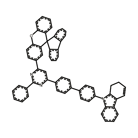 C1=Cc2c(n(-c3ccc(-c4ccc(-c5cc(-c6ccc7c(c6)C6(c8ccccc8O7)c7ccccc7-c7ccccc76)nc(-c6ccccc6)n5)cc4)cc3)c3ccccc23)CC1